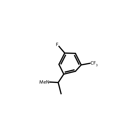 CNC(C)c1cc(F)cc(C(F)(F)F)c1